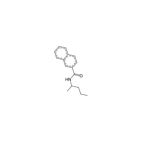 CCCC(C)NC(=O)c1ccc2ccccc2c1